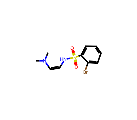 CN(C)/C=C\NS(=O)(=O)c1ccccc1Br